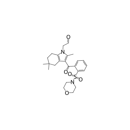 Cc1c(C(=O)c2ccccc2S(=O)(=O)N2CCOCC2)c2c(n1CC=O)CCC(C)(C)C2